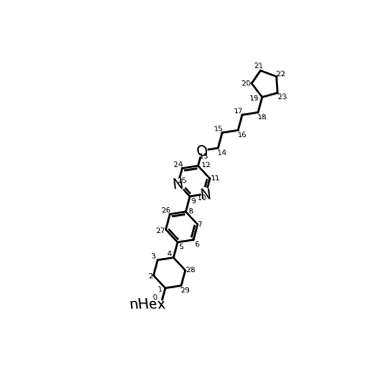 CCCCCCC1CCC(c2ccc(-c3ncc(OCCCCCC4CCCC4)cn3)cc2)CC1